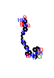 CS(=O)(=O)N1CCc2cccc(Nc3nc(Nc4ccc(N5CCC(N6CCN(CCCC7CN(c8ccc9c(c8)C(=O)N(C8CCC(=O)NC8=O)C9=O)C7)CC6)CC5)c5c4OCC5)ncc3Cl)c21